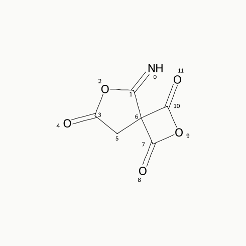 N=C1OC(=O)CC12C(=O)OC2=O